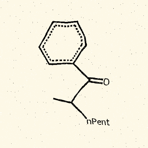 CCCCCC(C)C(=O)c1[c]cccc1